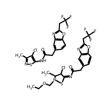 CCOCN1SC(=NC(=O)Cc2ccc3oc(CC(F)(F)F)nc3c2)C(Cl)C1C.Cc1nsc(NC(=O)Cc2ccc3oc(CC(F)(F)F)nc3c2)c1Cl